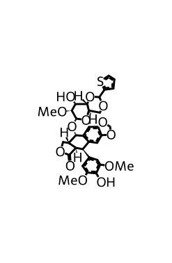 COc1cc([C@@H]2c3cc4c(cc3[C@@H](O[C@@H]3O[C@@H]5COC(c6cccs6)O[C@H]5[C@H](O)[C@H]3OC)[C@H]3COC(=O)[C@H]23)OCO4)cc(OC)c1O